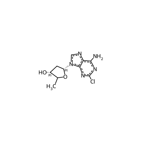 CC1O[C@@H](n2cnc3c(N)nc(Cl)nc32)C[C@H]1O